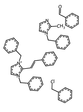 C(=Cc1n(Cc2ccccc2)cc[n+]1Cc1ccccc1)c1ccccc1.Cc1nccn1Cc1ccccc1.ClCc1ccccc1.O=Cc1ccccc1